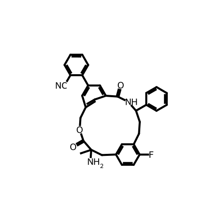 CC1(N)Cc2ccc(F)c(c2)CCC(c2ccccc2)NC(=O)c2cc(cc(-c3ccccc3C#N)c2)COC1=O